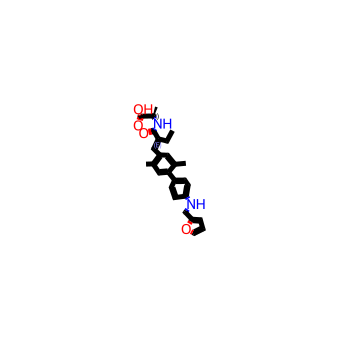 CC/C(=C\c1cc(C)c(-c2ccc(NCc3ccco3)cc2)cc1C)C(=O)N[C@H](C)C(=O)O